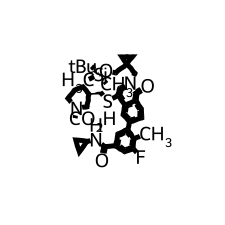 Cc1c(F)cc(C(=O)NC2CC2)cc1-c1ccc2c(=O)n(CC3(CO[Si](C)(C)C(C)(C)C)CC3)cc(SC[C@@H]3CCCN(C(=O)O)C3)c2c1